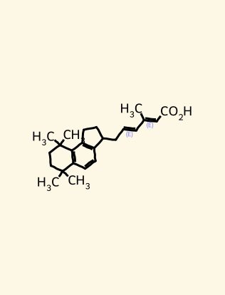 CC(/C=C/CC1CCc2c1ccc1c2C(C)(C)CCC1(C)C)=C\C(=O)O